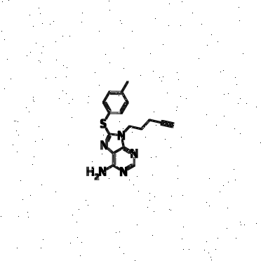 C#CCCCn1c(Sc2ccc(C)cc2)nc2c(N)ncnc21